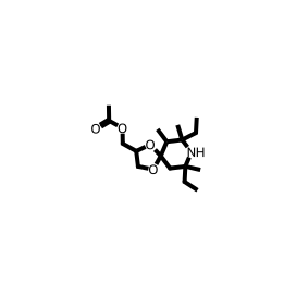 CCC1(C)CC2(OCC(COC(C)=O)O2)C(C)C(C)(CC)N1